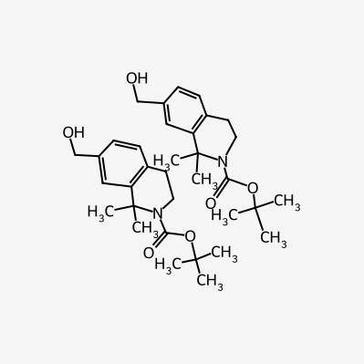 CC(C)(C)OC(=O)N1CCc2ccc(CO)cc2C1(C)C.CC(C)(C)OC(=O)N1CCc2ccc(CO)cc2C1(C)C